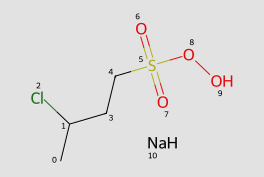 CC(Cl)CCS(=O)(=O)OO.[NaH]